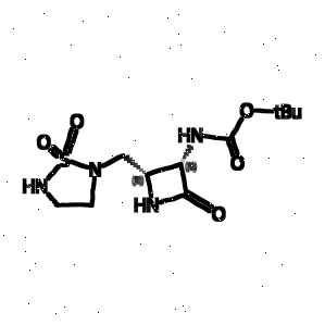 CC(C)(C)OC(=O)N[C@@H]1C(=O)N[C@@H]1CN1CCNS1(=O)=O